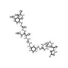 CCCC[C@@H](C)N(CCNCCc1ccc(O)c2c1OCC(=O)N2)C(=O)CCOCCc1cccc(CCN2CCC3(CC2)CN(C(=O)C2CSC(C)=N2)CCO3)c1